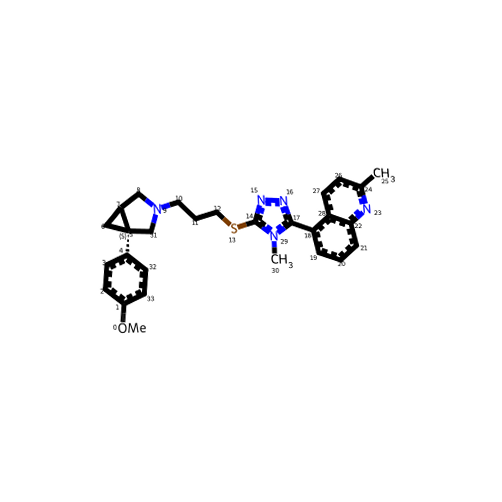 COc1ccc([C@]23CC2CN(CCCSc2nnc(-c4cccc5nc(C)ccc45)n2C)C3)cc1